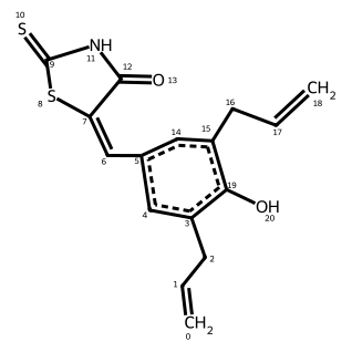 C=CCc1cc(C=C2SC(=S)NC2=O)cc(CC=C)c1O